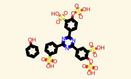 O=S(=O)(O)Oc1ccc(-c2nc(-c3cccc(S(=O)(=O)O)c3)nc(-c3ccc(OS(=O)(=O)O)c(S(=O)(=O)O)c3)n2)cc1S(=O)(=O)O.Oc1ccccc1